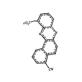 N#Cc1cccc2c1ccc1nc3cccc(C(=O)O)c3nc12